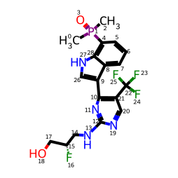 CP(C)(=O)c1cccc2c(-c3nc(NC[C@H](F)CO)ncc3C(F)(F)F)c[nH]c12